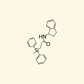 C[Si](CCC(=O)NC1CCc2ccccc21)(c1ccccc1)c1ccccc1